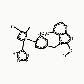 CCOC(=O)c1cccc2nc(OCC)n(Cc3ccc(-n4c(-c5nnn[nH]5)cc(Cl)c4C)cc3)c12